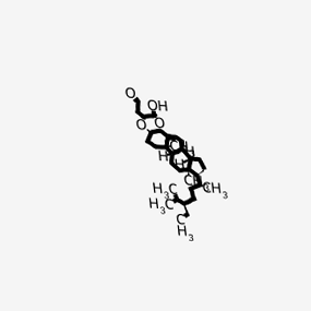 CC[C@H](CC[C@@H](C)[C@H]1CC[C@H]2[C@@H]3CC=C4C[C@@H](OC(CC=O)C(=O)O)CC[C@]4(C)[C@H]3CC[C@]12C)C(C)C